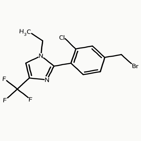 CCn1cc(C(F)(F)F)nc1-c1ccc(CBr)cc1Cl